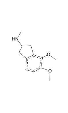 CNC1Cc2ccc(OC)c(OC)c2C1